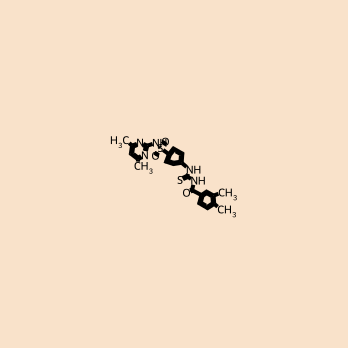 Cc1cc(C)nc(NS(=O)(=O)c2ccc(NC(=S)NC(=O)c3ccc(C)c(C)c3)cc2)n1